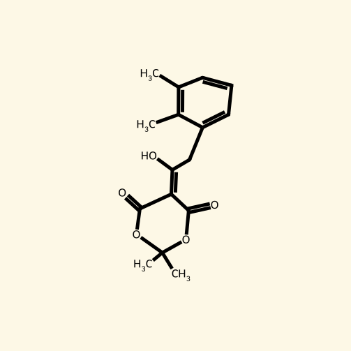 Cc1cccc(CC(O)=C2C(=O)OC(C)(C)OC2=O)c1C